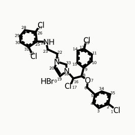 Br.Clc1ccc(COC(c2ccc(Cl)cc2)C(Cl)N2C=CN(CCNc3c(Cl)cccc3Cl)C2)cc1